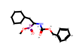 CO[PH](=O)C(CC1CCCCC1)NC(=O)OCc1ccccc1